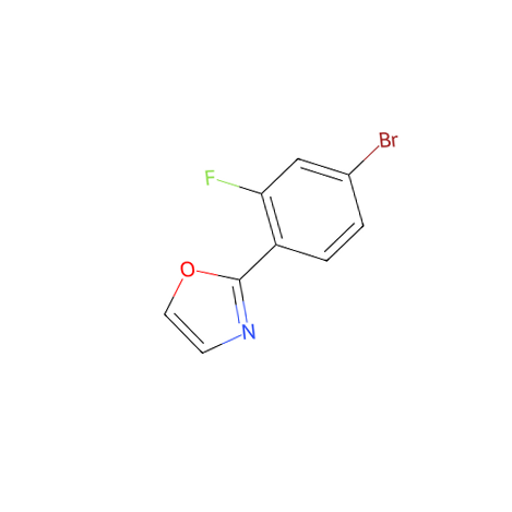 Fc1cc(Br)ccc1-c1ncco1